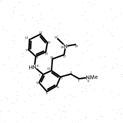 CNCCc1cccc(Nc2ccccc2)c1CCN(C)C